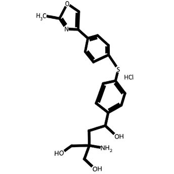 Cc1nc(-c2ccc(Sc3ccc(C(O)CC(N)(CO)CO)cc3)cc2)co1.Cl